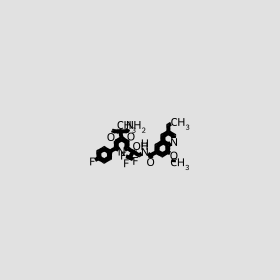 CCc1cnc2c(OC)cc(C(=O)NC[C@](O)(c3cc4c(c(-c5ccc(F)cc5)n3)OC[C@]4(C)C(N)=O)C(F)(F)F)cc2c1